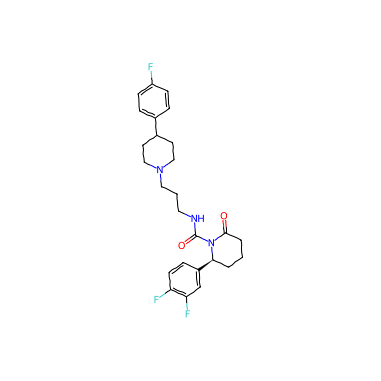 O=C1CCC[C@@H](c2ccc(F)c(F)c2)N1C(=O)NCCCN1CCC(c2ccc(F)cc2)CC1